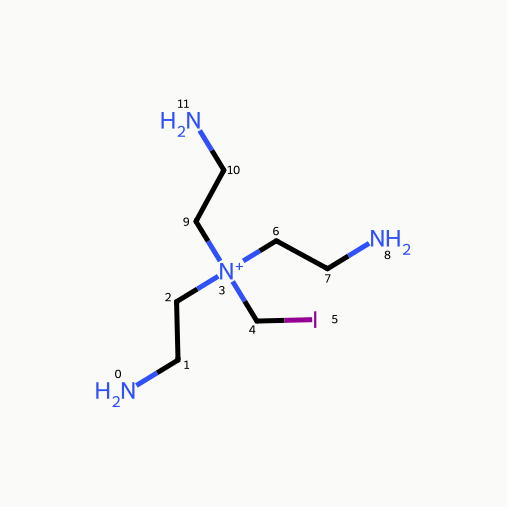 NCC[N+](CI)(CCN)CCN